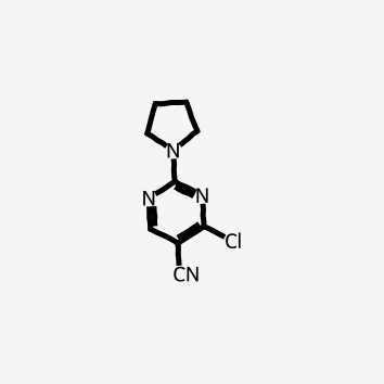 N#Cc1cnc(N2CCCC2)nc1Cl